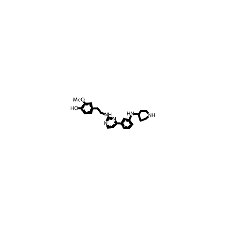 COc1cc(CCNc2nccc(-c3cccc(NC4CCNCC4)c3)n2)ccc1O